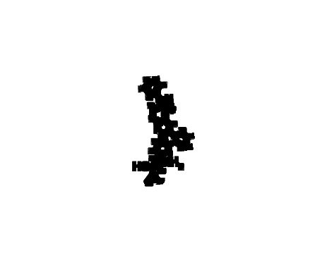 N[C@]1(c2ccc(-c3nc4ccn5c(-c6ccccc6)nnc5c4cc3-c3ccccc3)cc2)C[C@](O)(C2CC2)C1